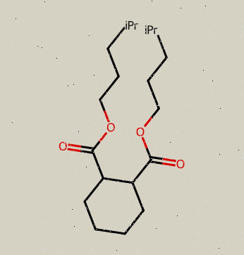 CC(C)CCCOC(=O)C1CCCCC1C(=O)OCCCC(C)C